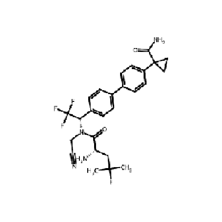 CC(C)(F)C[C@H](N)C(=O)N(CC#N)[C@@H](c1ccc(-c2ccc(C3(C(N)=O)CC3)cc2)cc1)C(F)(F)F